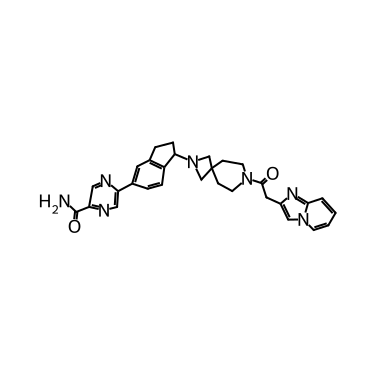 NC(=O)c1cnc(-c2ccc3c(c2)CCC3N2CC3(CCN(C(=O)Cc4cn5ccccc5n4)CC3)C2)cn1